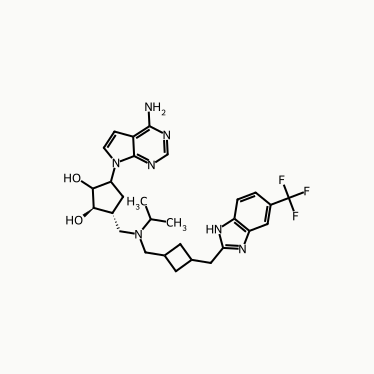 CC(C)N(CC1CC(Cc2nc3cc(C(F)(F)F)ccc3[nH]2)C1)C[C@H]1CC(n2ccc3c(N)ncnc32)C(O)[C@@H]1O